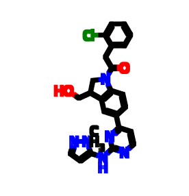 Cn1nccc1Nc1nccc(-c2ccc3c(c2)C(CO)CN3C(=O)Cc2ccccc2Cl)n1